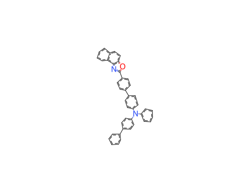 c1ccc(-c2ccc(N(c3ccccc3)c3ccc(-c4ccc(-c5nc6c(ccc7ccccc76)o5)cc4)cc3)cc2)cc1